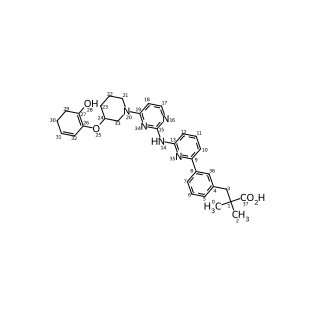 CC(C)(Cc1cccc(-c2cccc(Nc3nccc(N4CCCC(OC5=C(O)CCC=C5)C4)n3)n2)c1)C(=O)O